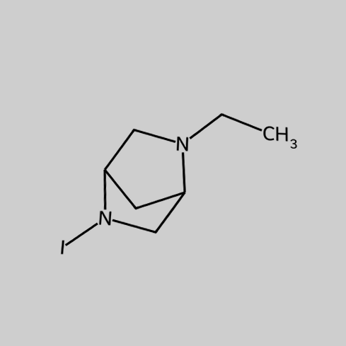 CCN1CC2CC1CN2I